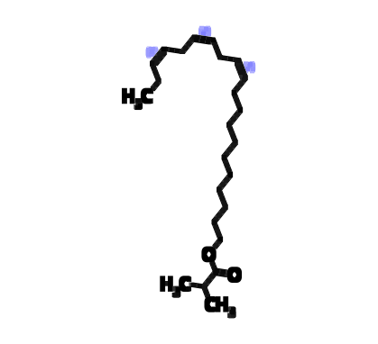 CC/C=C\C/C=C\C/C=C\CCCCCCCCCCOC(=O)C(C)C